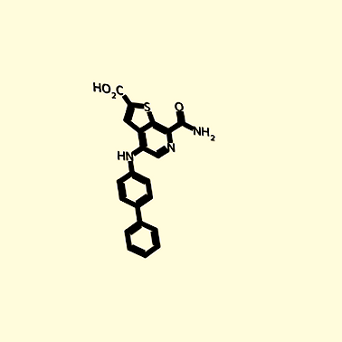 NC(=O)c1ncc(Nc2ccc(-c3ccccc3)cc2)c2cc(C(=O)O)sc12